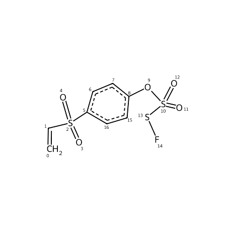 C=CS(=O)(=O)c1ccc(OS(=O)(=O)SF)cc1